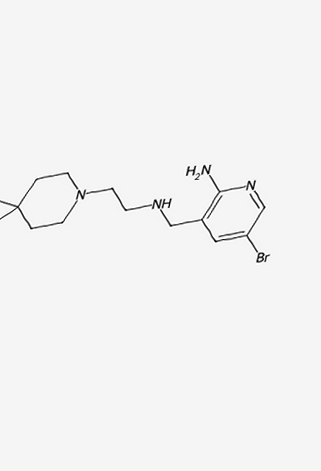 Nc1ncc(Br)cc1CNCCN1CCC2(CC1)CC2